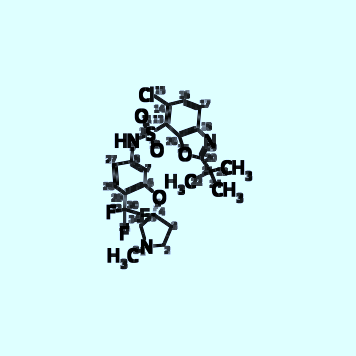 CN1CC[C@@H](Oc2cc(NS(=O)(=O)c3c(Cl)ccc4nc(C(C)(C)C)oc34)ccc2C(F)(F)F)C1